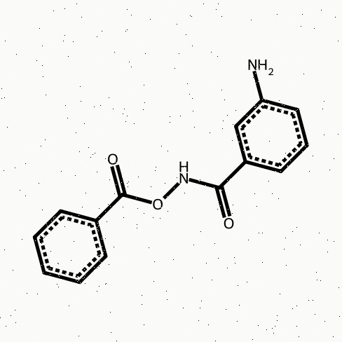 Nc1cccc(C(=O)NOC(=O)c2ccccc2)c1